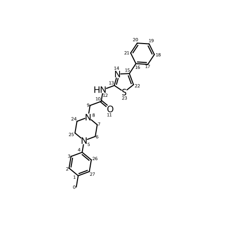 Cc1ccc(N2CCN(CC(=O)Nc3nc(-c4ccccc4)cs3)CC2)cc1